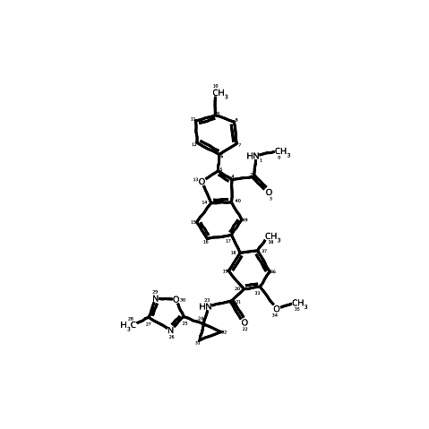 CNC(=O)c1c(-c2ccc(C)cc2)oc2ccc(-c3cc(C(=O)NC4(c5nc(C)no5)CC4)c(OC)cc3C)cc12